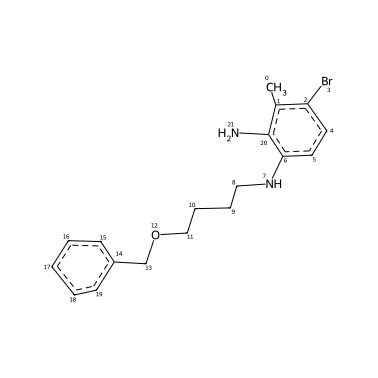 Cc1c(Br)ccc(NCCCCOCc2ccccc2)c1N